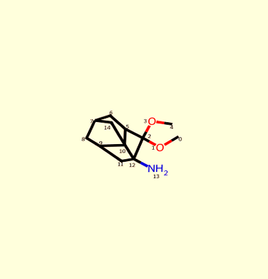 COC1(OC)C2CC3CC(C2)CC1(N)C3